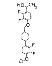 CCOc1ccc(C2CCC(COc3ccc(C(C)O)c(F)c3F)CC2)c(F)c1F